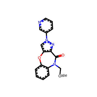 COCN1C(=O)c2nn(-c3cccnc3)cc2Oc2ccccc21